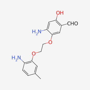 Cc1ccc(N)c(OCCOc2cc(C=O)c(O)cc2N)c1